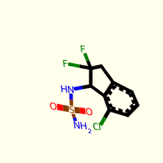 NS(=O)(=O)NC1c2c(Cl)cccc2CC1(F)F